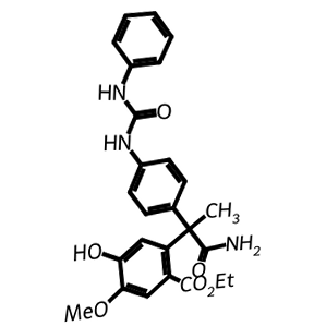 CCOC(=O)c1cc(OC)c(O)cc1C(C)(C(N)=O)c1ccc(NC(=O)Nc2ccccc2)cc1